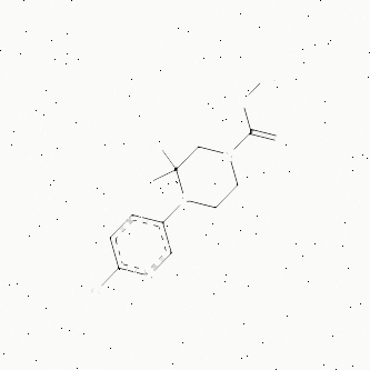 CC(C)(C)OC(=O)N1CCN(c2ccc(N=O)nc2)C(C)(C)C1